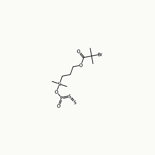 CC(C)(Br)C(=O)OCCC[Si](C)(C)OP(=O)=S=S